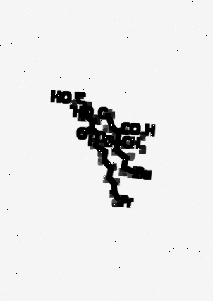 CC(C)CCCCCCCOC(=O)CCCC(=O)O.CCC(C)CCCC(C)(C)C(CCC(=O)O)C(=O)O